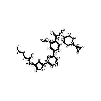 CCCCC(=O)Nc1csc(-c2cncc(-c3ccc(C(=O)N(C)C4CCN(C5CC5)CC4)c(OC)c3)n2)c1